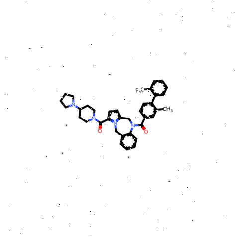 Cc1cc(C(=O)N2Cc3ccc(C(=O)N4CCC(N5CCCC5)CC4)n3Cc3ccccc32)ccc1-c1ccccc1C(F)(F)F